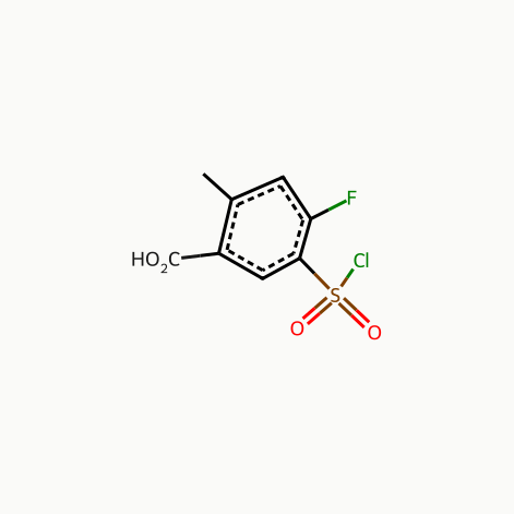 Cc1cc(F)c(S(=O)(=O)Cl)cc1C(=O)O